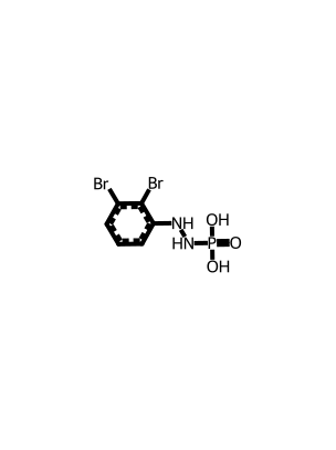 O=P(O)(O)NNc1cccc(Br)c1Br